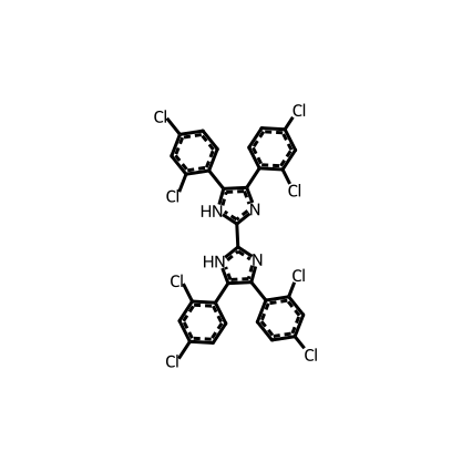 Clc1ccc(-c2nc(-c3nc(-c4ccc(Cl)cc4Cl)c(-c4ccc(Cl)cc4Cl)[nH]3)[nH]c2-c2ccc(Cl)cc2Cl)c(Cl)c1